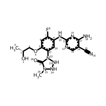 C[C@@H](O)COc1cc(F)c(Nc2ncc(C#N)c(N)n2)cc1N1NNN(C)C1=O